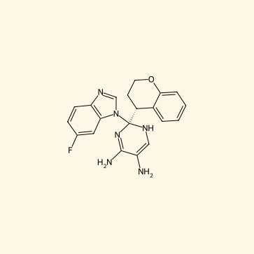 NC1=CNC([C@@H]2CCOc3ccccc32)(n2cnc3ccc(F)cc32)N=C1N